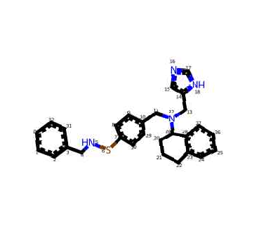 c1ccc(CNSc2ccc(CN(Cc3cnc[nH]3)C3CCCc4ccccc43)cc2)cc1